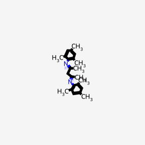 C/C(C/C(C)=N/c1c(C)cc(C)cc1C)=N\c1c(C)cc(C)cc1C